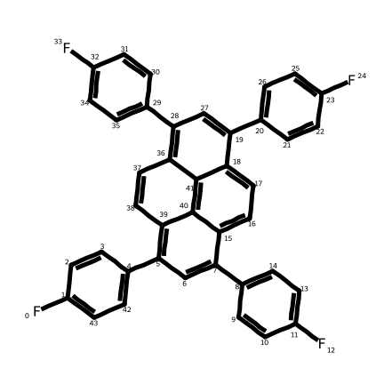 Fc1ccc(-c2cc(-c3ccc(F)cc3)c3ccc4c(-c5ccc(F)cc5)cc(-c5ccc(F)cc5)c5ccc2c3c54)cc1